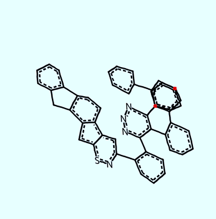 c1ccc(-c2ccccc2-c2nnnc(-c3ccccc3-c3cc4c5ccc6c(c5cc-4sn3)Cc3ccccc3-6)c2-c2ccccc2-c2ccccc2)cc1